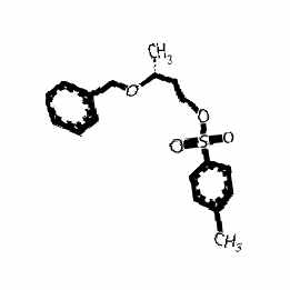 Cc1ccc(S(=O)(=O)OCC[C@@H](C)OCc2ccccc2)cc1